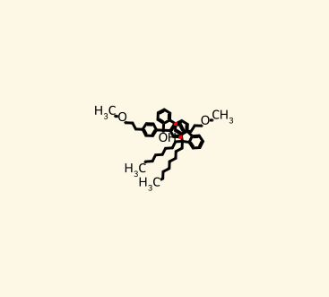 CCCCCCCCC1(CCCCCCCC)c2ccccc2-c2ccc(-c3ccccc3C(O)(c3ccc(CCCOCC)cc3)c3ccc(CCCOCC)cc3)cc21